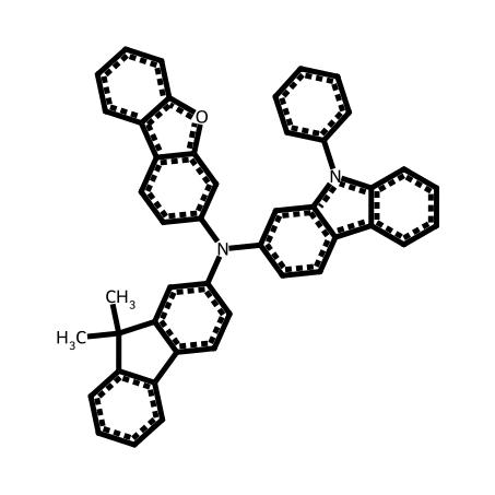 CC1(C)c2ccccc2-c2ccc(N(c3ccc4c(c3)oc3ccccc34)c3ccc4c5ccccc5n(-c5ccccc5)c4c3)cc21